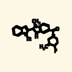 C=C1CN(C(=O)c2ccc3c(c2)NC(c2cc4ccccc4n2CC)N3C)CCC1F